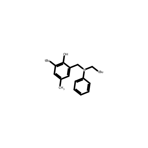 Cc1cc(CN(CC(C)(C)C)c2ccccc2)c(O)c(C(C)(C)C)c1